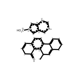 CC1C=C2CC=CC=C2c2ccc3c(c21)C(=O)CC=C3.O=C(O)n1cc2cncnc2c1